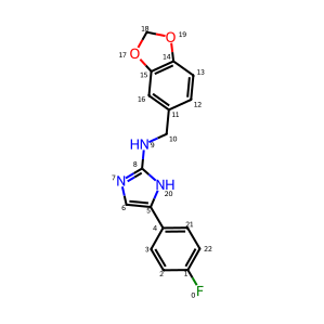 Fc1ccc(-c2cnc(NCc3ccc4c(c3)OCO4)[nH]2)cc1